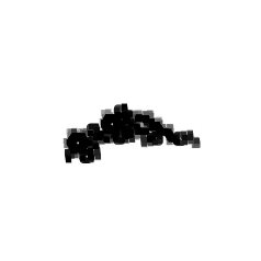 CCCC(O)CN1CCN(S(=O)(=O)c2c(Cl)ccc(NC(=O)Nc3cccc(F)c3Cl)c2O)CC1